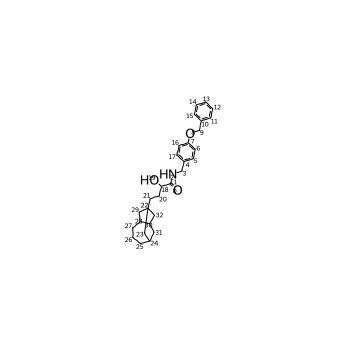 O=C(NCc1ccc(OCc2ccccc2)cc1)C(O)CCC12CC3CCCC(C1)C(C3)C2